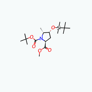 COC(=O)[C@@H]1C[C@@H](O[Si](C)(C)C(C)(C)C)[C@@H](C)N1C(=O)OC(C)(C)C